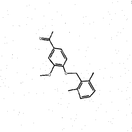 COc1cc(C(C)=O)ccc1OCc1c(C)cccc1C